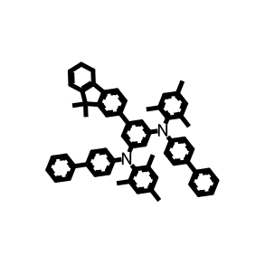 Cc1cc(C)c(N(c2ccc(-c3ccccc3)cc2)c2cc(-c3ccc4c(c3)C(C)(C)C3=C4CCC=C3)cc(N(c3ccc(-c4ccccc4)cc3)c3c(C)cc(C)cc3C)c2)c(C)c1